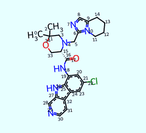 CC1(C)CN(Cc2ncc3n2CCCC3)[C@H](C(=O)Nc2cc(Cl)cc3c2[nH]c2cnccc23)CO1